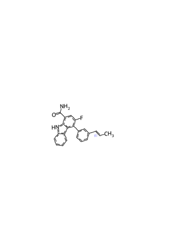 C/C=C/c1cccc(-c2c(F)cc(C(N)=O)c3[nH]c4ccccc4c23)c1